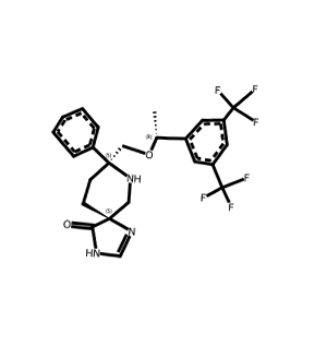 C[C@@H](OC[C@@]1(c2ccccc2)CC[C@@]2(CN1)N=CNC2=O)c1cc(C(F)(F)F)cc(C(F)(F)F)c1